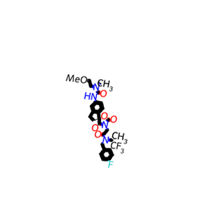 COCCN(C)C(=O)Nc1ccc2c(c1)CC[C@@]21OC(=O)N(CC(=O)N(Cc2ccc(F)cc2)[C@@H](C)C(F)(F)F)C1=O